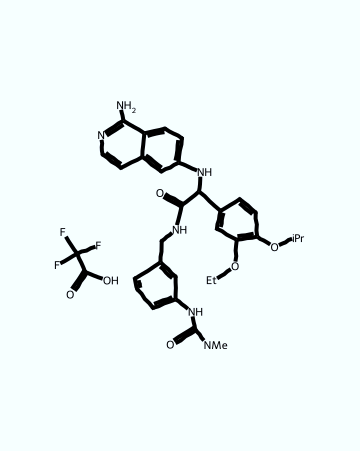 CCOc1cc(C(Nc2ccc3c(N)nccc3c2)C(=O)NCc2cccc(NC(=O)NC)c2)ccc1OC(C)C.O=C(O)C(F)(F)F